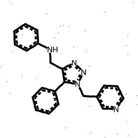 c1ccc(NCc2nnn(Cc3cccnc3)c2-c2ccccc2)cc1